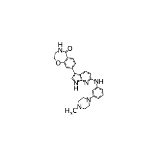 CN1CCN(c2cccc(Nc3ccc4c(-c5ccc6c(c5)OCCNC6=O)c[nH]c4n3)c2)CC1